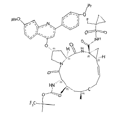 COc1ccc2c(O[C@@H]3C[C@H]4C(=O)N[C@]5(C(=O)NS(=O)(=O)C6(CF)CC6)C[C@H]5C=CCC[C@@H](C)C[C@@H](C)[C@H](NC(=O)OC(C)(C)C(F)(F)F)C(=O)N4C3)cc(-c3ccc(OC(C)C)cc3)nc2c1